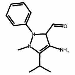 CC(C)C1=C(N)C(C=O)N(c2ccccc2)N1C